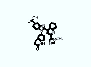 Cn1cncc1-c1cc(-c2nc3cc(C(=O)O)ccc3n2-c2ccc3c(c2)CCC(=O)N3)c2ccccc2n1